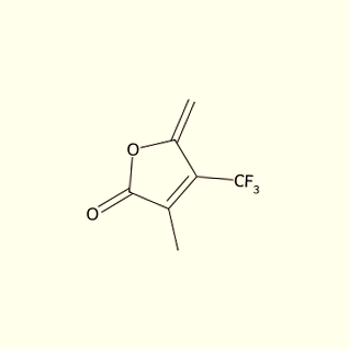 C=C1OC(=O)C(C)=C1C(F)(F)F